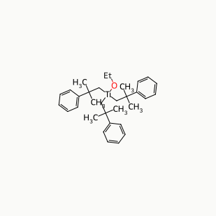 CC[O][Ti]([CH2]C(C)(C)c1ccccc1)([CH2]C(C)(C)c1ccccc1)[CH2]C(C)(C)c1ccccc1